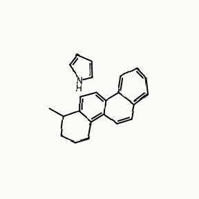 CC1CCCc2c1ccc1c2ccc2ccccc21.c1cc[nH]c1